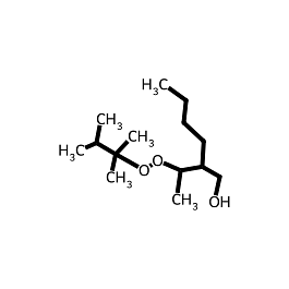 CCCCC(CO)C(C)OOC(C)(C)C(C)C